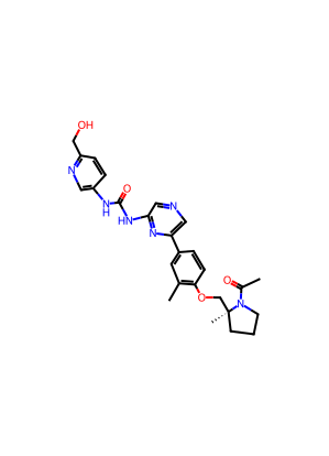 CC(=O)N1CCC[C@@]1(C)COc1ccc(-c2cncc(NC(=O)Nc3ccc(CO)nc3)n2)cc1C